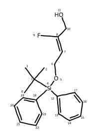 CC(C)(C)[Si](OC/C=C(\F)CO)(c1ccccc1)c1ccccc1